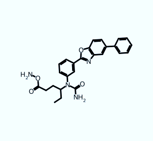 CCC(CCC(=O)ON)N(C(N)=O)c1cccc(-c2nc3cc(-c4ccccc4)ccc3o2)c1